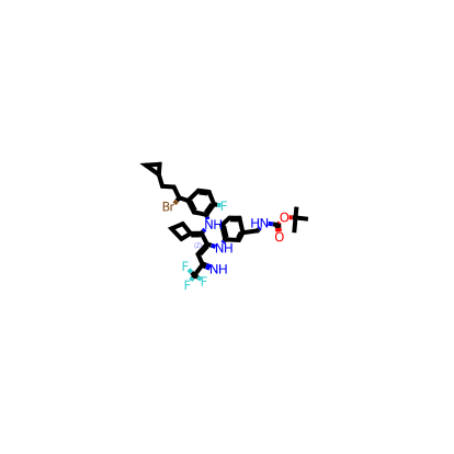 CC(C)(C)OC(=O)NCc1cccc(N/C(=C\C(=N)C(F)(F)F)C(Nc2cc(C(Br)CCC3CC3)ccc2F)=C2CCC2)c1